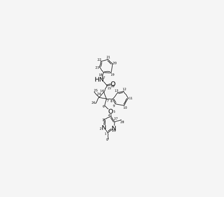 Cc1ncc(OCC2(c3ccccc3)C(C(=O)Nc3ccccc3)C2(C)C)c(C)n1